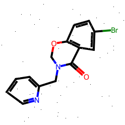 O=C1c2cc(Br)ccc2OCN1Cc1ccccn1